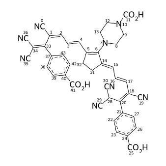 N#CC(=CC=CC1=C(N2CCN(C(=O)O)CC2)C(=CC=CC(C#N)=C(c2ccc(C(=O)O)cc2)C(C#N)C#N)CC1)C(=C(C#N)C#N)c1ccc(C(=O)O)cc1